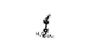 CC(=O)NC(C)Cc1ccc(C#Cc2cnc(OCCF)nc2)cc1